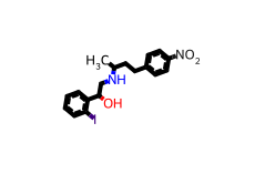 CC(CCc1ccc([N+](=O)[O-])cc1)NCC(O)c1ccccc1I